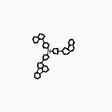 c1ccc2c(c1)-c1cccc3c(-c4ccc(N(c5ccc(-c6ccc7ccc8ccccc8c7c6)cc5)c5ccc(-c6cccc7ccccc67)cc5)cc4)ccc-2c13